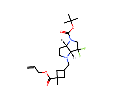 C=CCOC(=O)C1(C)CC(CN2CC[C@H]3[C@@H]2C(F)(F)CN3C(=O)OC(C)(C)C)C1